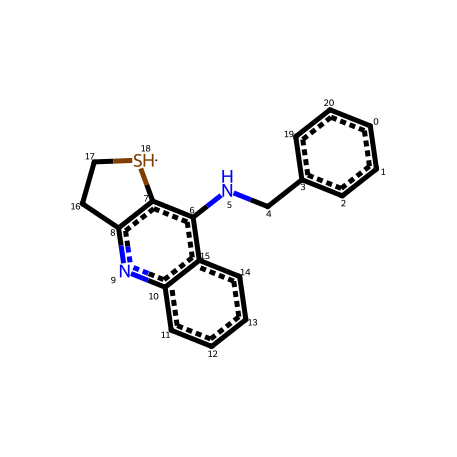 c1ccc(CNc2c3c(nc4ccccc24)CC[SH]3)cc1